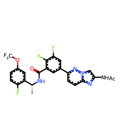 CC(=O)Nc1cn2nc(-c3cc(F)c(F)c(C(=O)N[C@H](C)c4cc(OC(F)(F)F)ccc4F)c3)ccc2n1